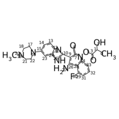 CC(O)C(=O)On1c(=O)c(-c2nc3ccc(N4CCN(C)CC4)cc3[nH]2)c(N)c2c(F)cccc21